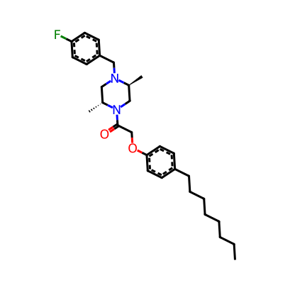 CCCCCCCCc1ccc(OCC(=O)N2C[C@H](C)N(Cc3ccc(F)cc3)C[C@H]2C)cc1